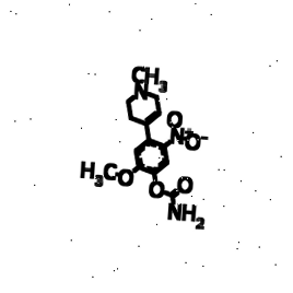 COc1cc(C2=CCN(C)CC2)c([N+](=O)[O-])cc1OC(N)=O